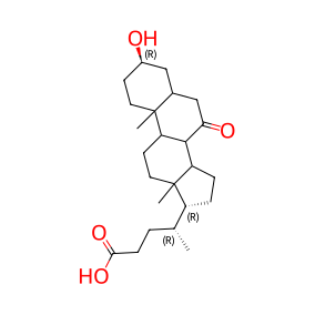 C[C@H](CCC(=O)O)[C@H]1CCC2C3C(=O)CC4C[C@H](O)CCC4(C)C3CCC21C